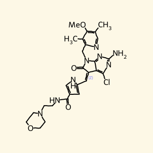 COc1c(C)cnc(CN2C(=O)/C(=C\c3cc(C(=O)NCCN4CCOCC4)c[nH]3)c3c(Cl)nc(N)nc32)c1C